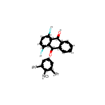 CC(C)c1cccc(C(C)C)c1N=O.O=C1c2ccccc2C(=O)c2c(F)ccc(F)c21